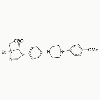 CC[N+]1(CC(=O)[O-])N=CN(c2ccc(N3CCN(c4ccc(OC)cc4)CC3)cc2)C1=O